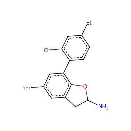 CCCc1cc2c(c(-c3ccc(CC)cc3Cl)c1)OC(N)C2